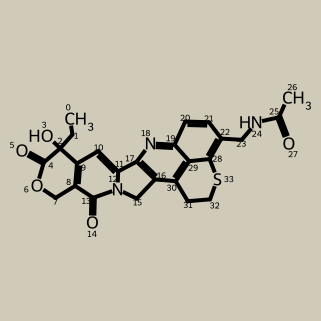 CCC1(O)C(=O)OCc2c1cc1n(c2=O)Cc2c-1nc1ccc(CNC(C)=O)c3c1c2CCS3